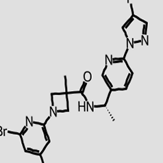 Cc1cc(Br)nc(N2CC(C)(C(=O)N[C@@H](C)c3ccc(-n4cc(F)cn4)nc3)C2)c1